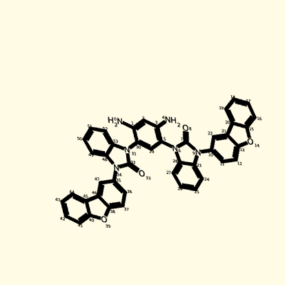 Nc1cc(N)c(-n2c(=O)n(-c3ccc4oc5ccccc5c4c3)c3ccccc32)cc1-n1c(=O)n(-c2ccc3oc4ccccc4c3c2)c2ccccc21